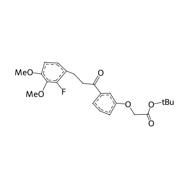 COc1ccc(CCC(=O)c2cccc(OCC(=O)OC(C)(C)C)c2)c(F)c1OC